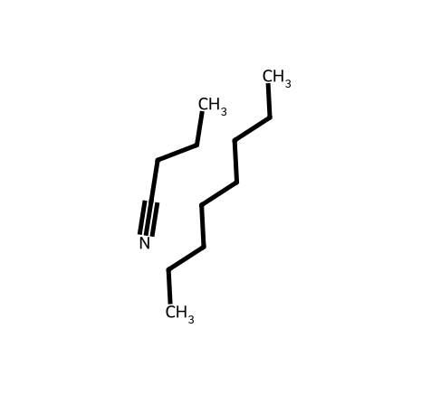 CCCC#N.CCCCCCCC